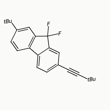 CC(C)(C)C#Cc1ccc2c(c1)C(F)(F)c1cc(C(C)(C)C)ccc1-2